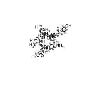 CNC(=O)NCC(Cc1ccccc1)NC(=O)NCC(NC(=O)NCC(CC(C)C)NC(=O)NC[C@H](CCCCN)NC(=O)NCC(N)Cc1ccc(O)cc1)C(C)C